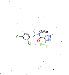 CON(C(=O)c1cn(C)nc1C(F)F)C(CF)Cc1ccc(Cl)cc1Cl